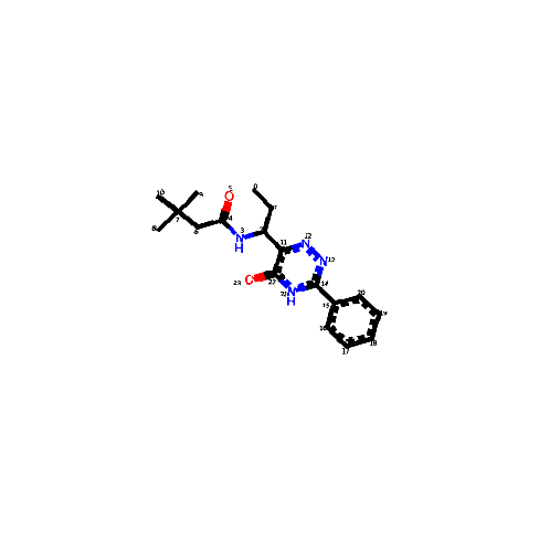 CCC(NC(=O)CC(C)(C)C)c1nnc(-c2ccccc2)[nH]c1=O